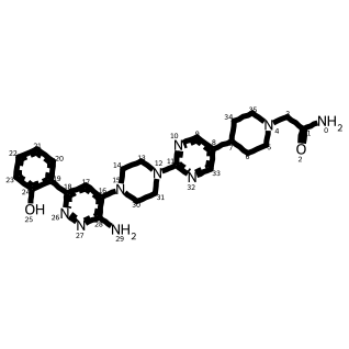 NC(=O)CN1CCC(c2cnc(N3CCN(c4cc(-c5ccccc5O)nnc4N)CC3)nc2)CC1